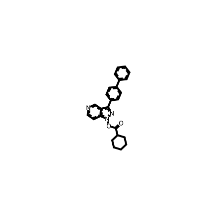 O=C(On1nc(-c2ccc(-c3ccccc3)cc2)c2cnccc21)C1CCCCC1